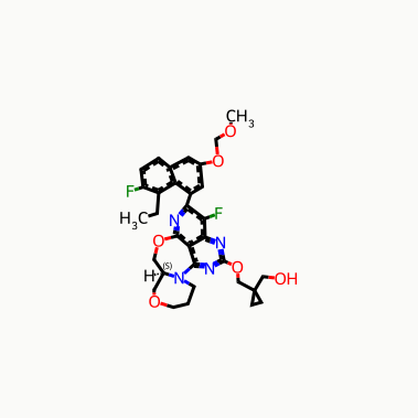 CCc1c(F)ccc2cc(OCOC)cc(-c3nc4c5c(nc(OCC6(CO)CC6)nc5c3F)N3CCCOC[C@H]3CO4)c12